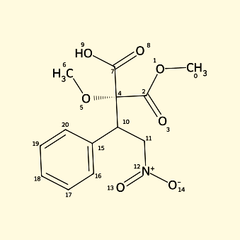 COC(=O)[C@](OC)(C(=O)O)C(C[N+](=O)[O-])c1ccccc1